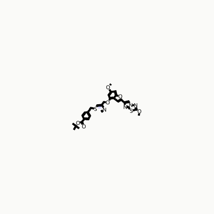 C=N/C(=C\SCc1ccc(C(=O)OC(C)(C)C)cc1)COc1cc(OC)cc2oc(-c3cn4nc(OC)sc4n3)cc12